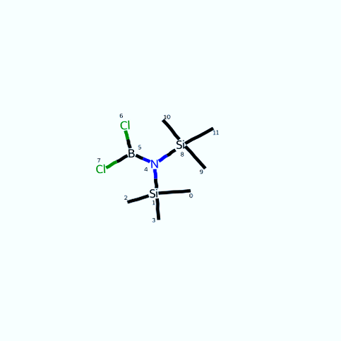 C[Si](C)(C)N(B(Cl)Cl)[Si](C)(C)C